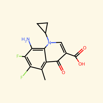 Cc1c(F)c(F)c(N)c2c1c(=O)c(C(=O)O)cn2C1CC1